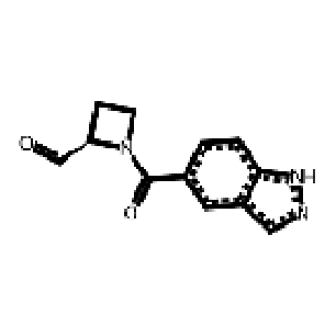 O=C[C@H]1CCN1C(=O)c1ccc2[nH]ncc2c1